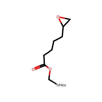 CCCCCCCOC(=O)CCCCC1CO1